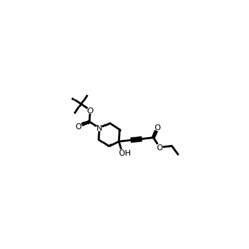 CCOC(=O)C#CC1(O)CCN(C(=O)OC(C)(C)C)CC1